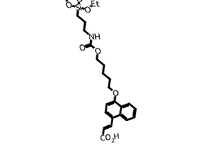 CCO[Si](CCCNC(=O)OCCCCCOc1ccc(C=CC(=O)O)c2ccccc12)(OCC)OCC